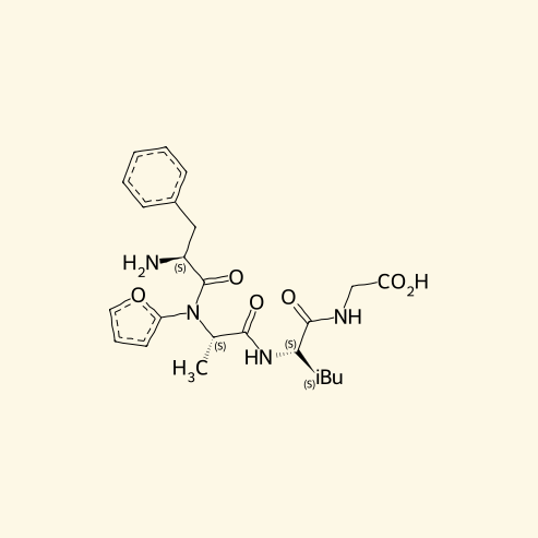 CC[C@H](C)[C@H](NC(=O)[C@H](C)N(C(=O)[C@@H](N)Cc1ccccc1)c1ccco1)C(=O)NCC(=O)O